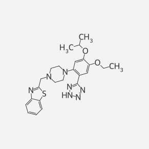 CCOc1cc(-c2nn[nH]n2)c(N2CCN(Cc3nc4ccccc4s3)CC2)cc1OC(C)C